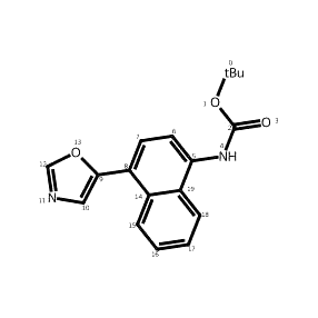 CC(C)(C)OC(=O)Nc1ccc(-c2cnco2)c2ccccc12